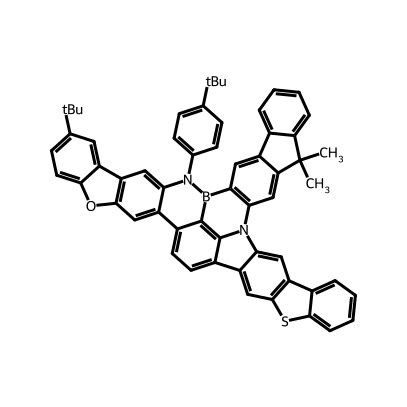 CC(C)(C)c1ccc(N2B3c4cc5c(cc4-n4c6cc7c(cc6c6ccc(c3c64)-c3cc4oc6ccc(C(C)(C)C)cc6c4cc32)sc2ccccc27)C(C)(C)c2ccccc2-5)cc1